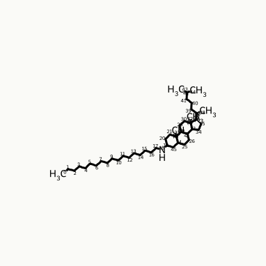 CCCCCCCCCCCCCCCCCCNC1CC[C@@]2(C)C(CCC3C2CC[C@@]2(C)C3CC[C@@H]2[C@H](C)CCCC(C)C)C1